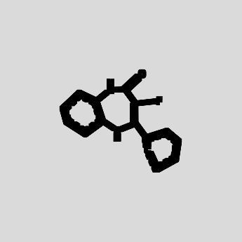 O=C1Nc2ccccc2NC(c2ccccc2)=C1F